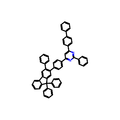 c1ccc(-c2ccc(-c3cc(-c4ccc(-c5cc6c(cc5-c5ccccc5)-c5ccccc5C6(c5ccccc5)c5ccccc5)cc4)nc(-c4ccccc4)n3)cc2)cc1